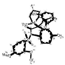 CNC(=O)[C@@H]1C[C@@H](F)C[N+]1(C)C1(c2ccccc2OC)C(=O)N(S(=O)(=O)c2ccc(OC)cc2OC(F)(F)F)c2ccc(C)cc21